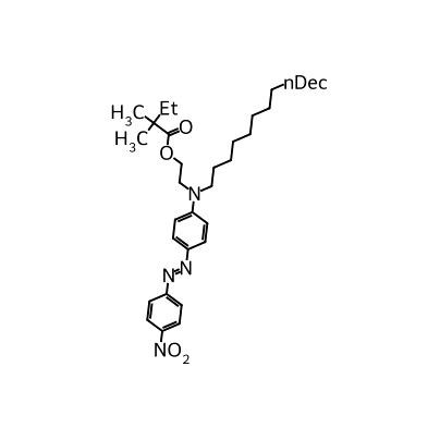 CCCCCCCCCCCCCCCCCCN(CCOC(=O)C(C)(C)CC)c1ccc(/N=N/c2ccc([N+](=O)[O-])cc2)cc1